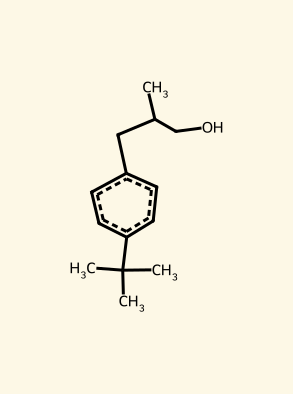 CC(CO)Cc1ccc(C(C)(C)C)cc1